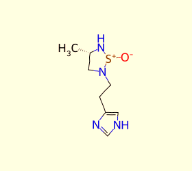 C[C@H]1CN(CCc2c[nH]cn2)[S+]([O-])N1